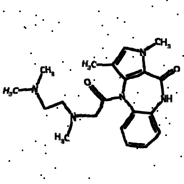 Cc1cn(C)c2c1N(C(=O)CN(C)CCN(C)C)c1ccccc1NC2=O